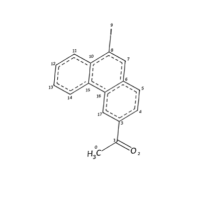 CC(=O)c1ccc2cc(I)c3ccccc3c2c1